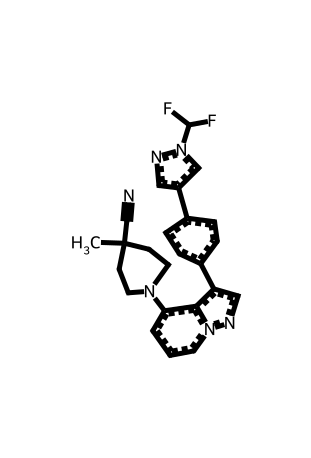 CC1(C#N)CCN(c2cccn3ncc(-c4ccc(-c5cnn(C(F)F)c5)cc4)c23)CC1